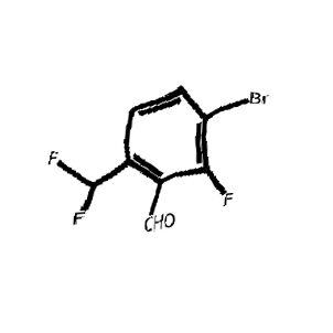 O=Cc1c(C(F)F)ccc(Br)c1F